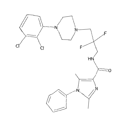 Cc1nc(C(=O)NCC(F)(F)CN2CCN(c3cccc(Cl)c3Cl)CC2)c(C)n1-c1ccccc1